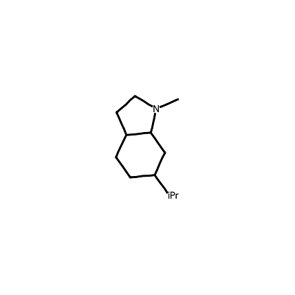 CC(C)C1CCC2CCN(C)C2C1